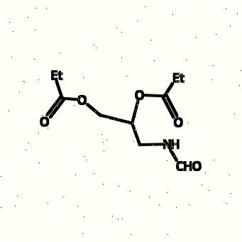 CCC(=O)OCC(CNC=O)OC(=O)CC